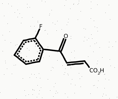 O=C(O)C=CC(=O)c1ccccc1F